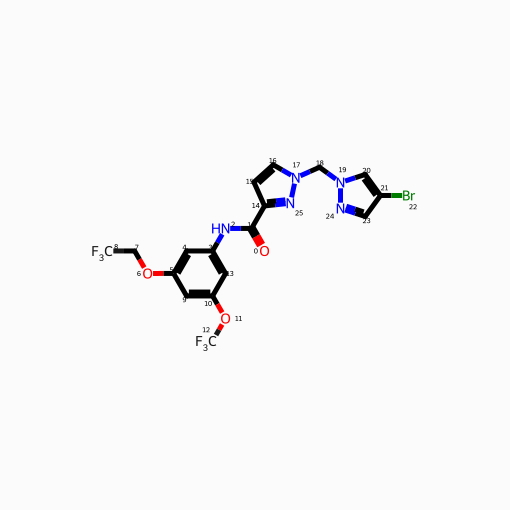 O=C(Nc1cc(OCC(F)(F)F)cc(OC(F)(F)F)c1)c1ccn(Cn2cc(Br)cn2)n1